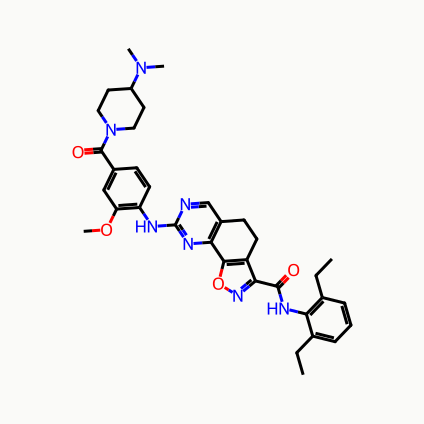 CCc1cccc(CC)c1NC(=O)c1noc2c1CCc1cnc(Nc3ccc(C(=O)N4CCC(N(C)C)CC4)cc3OC)nc1-2